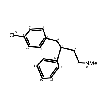 CNCCC(Cc1ccc(Cl)cc1)c1ccccc1